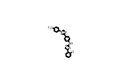 FC(F)(F)c1ccc(-n2cnc(-c3ccc(NC4=NC(c5ccccc5Cl)CS4)cc3)n2)cc1